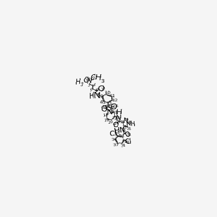 CN(C)CC=CC(=O)Nc1cccc(S(=O)(=O)N2CCCC(NC(=O)c3n[nH]cc3NC(=O)c3c(Cl)cccc3Cl)C2)c1